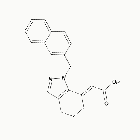 O=C(O)C=C1CCCc2cnn(Cc3ccc4ccccc4c3)c21